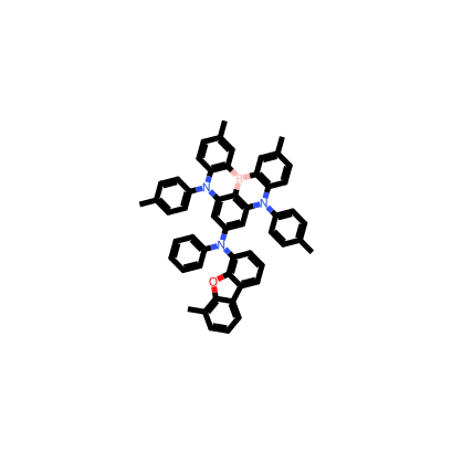 Cc1ccc(N2c3ccc(C)cc3B3c4cc(C)ccc4N(c4ccc(C)cc4)c4cc(N(c5ccccc5)c5cccc6c5oc5c(C)cccc56)cc2c43)cc1